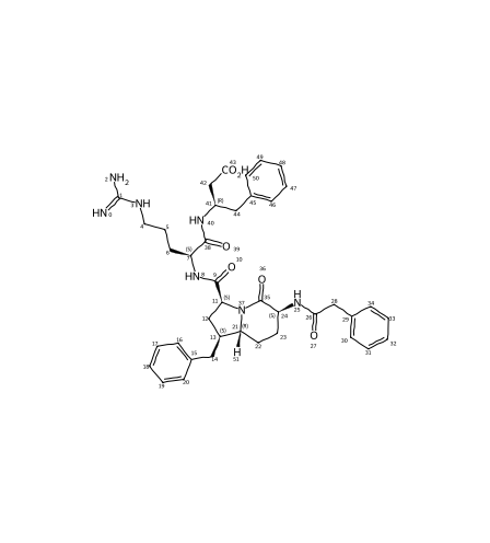 N=C(N)NCCC[C@H](NC(=O)[C@@H]1C[C@H](Cc2ccccc2)[C@H]2CC[C@H](NC(=O)Cc3ccccc3)C(=O)N21)C(=O)N[C@@H](CC(=O)O)Cc1ccccc1